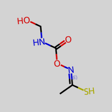 C/C(S)=N\OC(=O)NCO